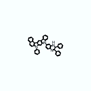 c1ccc(C2=Nc3ccc(-n4c5ccccc5c5cc6c7c8ccccc8ccc7n(-c7ccccc7)c6cc54)cc3NC2c2ccccc2)cc1